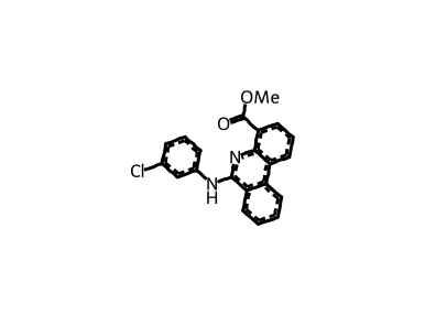 COC(=O)c1cccc2c1nc(Nc1cccc(Cl)c1)c1ccccc12